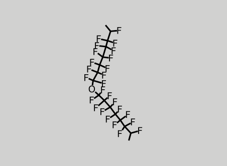 CC(F)C(F)(F)C(F)(F)C(F)(F)C(F)(F)C(F)(F)C(F)(F)OC(F)(F)C(F)(F)C(F)(F)C(F)(F)C(F)(F)C(F)(F)C(C)F